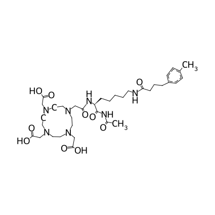 CC(=O)NC(=O)[C@H](CCCCCNC(=O)CCCc1ccc(C)cc1)NC(=O)CN1CCN(CC(=O)O)CCN(CC(=O)O)CCN(CC(=O)O)CC1